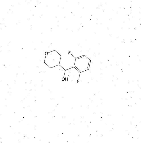 OC(c1c(F)cccc1F)C1CCOCC1